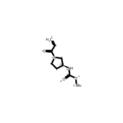 C=CC(=O)N1CC[C@H](NC(=O)OC(C)(C)C)C1